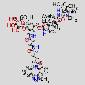 CN[C@H](C(=O)N[C@H](C(=O)N(C)[C@H](/C=C(\C)C(=O)O)C(C)C)C(C)(C)C)C(C)(C)c1cccc(NC(=O)OCc2ccc(O[C@@H]3O[C@H](C(=O)O)[C@@H](O)[C@H](O)[C@H]3O)c(CNC(=O)CCNC(=O)CCCCC(=O)N3Cc4ccccc4-c4nnn(C)c4-c4ccccc43)c2)c1